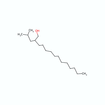 CCCCCCCCCC[CH]CC(CO)CC(C)C